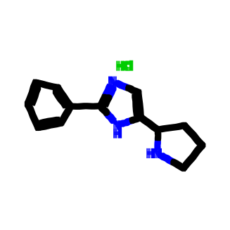 Cl.c1ccc(-c2ncc(C3CCCN3)[nH]2)cc1